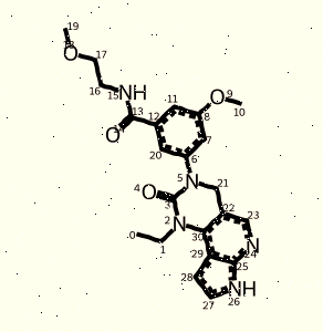 CCN1C(=O)N(c2cc(OC)cc(C(=O)NCCOC)c2)Cc2cnc3[nH]ccc3c21